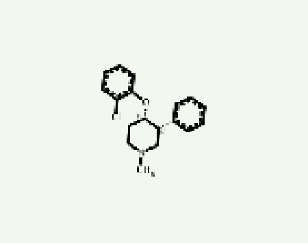 CN1CC[C@H](Oc2ccccc2Cl)[C@H](c2ccccc2)C1